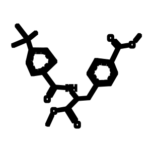 COC(=O)c1ccc(CC(NC(=O)c2ccc(C(C)(C)C)cc2)C(=O)OC)cc1